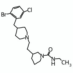 CCNC(=O)N1CCCC(CCN2CCC(Cc3cc(Cl)ccc3Br)CC2)C1